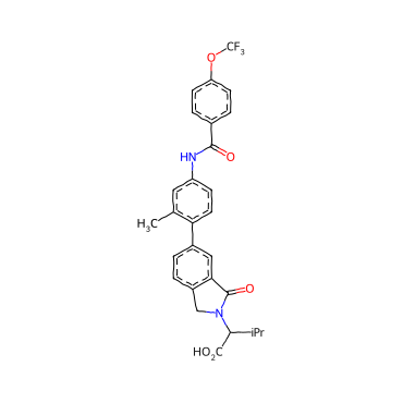 Cc1cc(NC(=O)c2ccc(OC(F)(F)F)cc2)ccc1-c1ccc2c(c1)C(=O)N(C(C(=O)O)C(C)C)C2